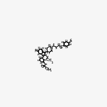 CCc1c(C2CCN(CCCSc3ccc(F)cc3)CC2)c2ccc(F)cc2n1-c1cccc(CC(=O)O)c1